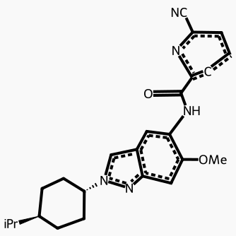 COc1cc2nn([C@H]3CC[C@H](C(C)C)CC3)cc2cc1NC(=O)c1cccc(C#N)n1